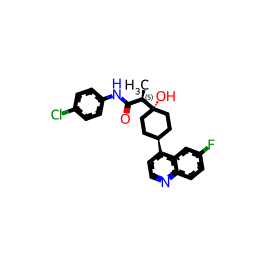 C[C@H](C(=O)Nc1ccc(Cl)cc1)[C@]1(O)CC[C@H](c2ccnc3ccc(F)cc32)CC1